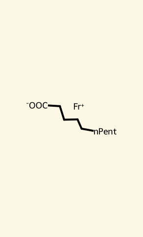 CCCCCCCCCC(=O)[O-].[Fr+]